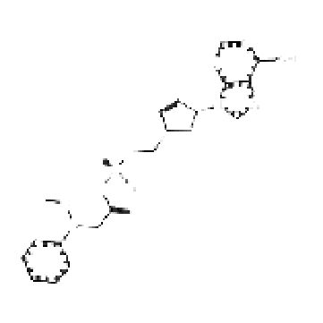 CON(c1ccccc1)[C@@H](C)C(=O)OP(N)(=O)OC[C@H]1C=C[C@@H](n2cnc3c(N)ncnc32)C1